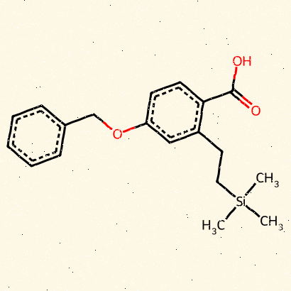 C[Si](C)(C)CCc1cc(OCc2ccccc2)ccc1C(=O)O